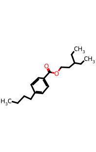 CCCCc1ccc(C(=O)OCCC(CC)CC)cc1